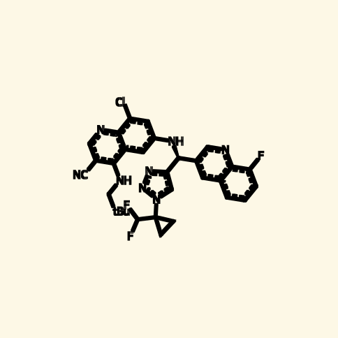 CC(C)(C)CNc1c(C#N)cnc2c(Cl)cc(N[C@@H](c3cnc4c(F)cccc4c3)c3cn(C4(C(F)F)CC4)nn3)cc12